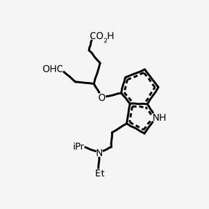 CCN(CCc1c[nH]c2cccc(OC(CC=O)CCC(=O)O)c12)C(C)C